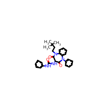 CC(C)(C)CCN1C(=O)C(NC(=O)Nc2ccccc2)C(=O)N(c2ccccc2)c2ccccc21